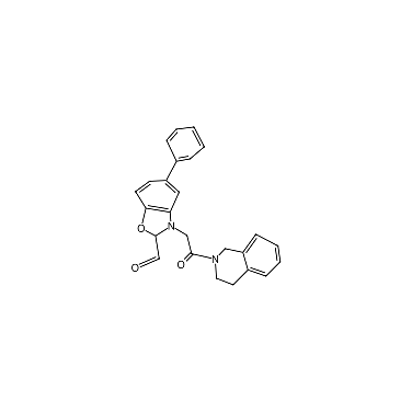 O=CC1Oc2ccc(-c3ccccc3)cc2N1CC(=O)N1CCc2ccccc2C1